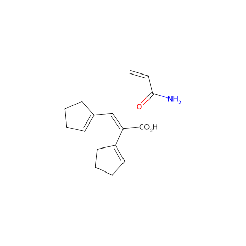 C=CC(N)=O.O=C(O)C(=CC1=CCCC1)C1=CCCC1